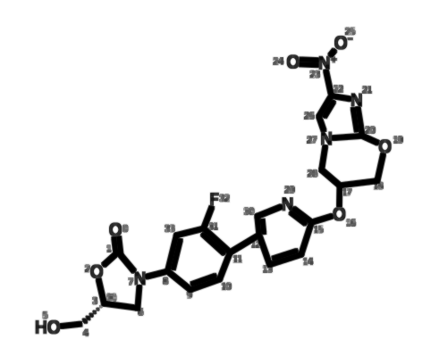 O=C1O[C@@H](CO)CN1c1ccc(-c2ccc(OC3COc4nc([N+](=O)[O-])cn4C3)nc2)c(F)c1